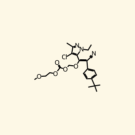 CCn1nc(C)c(Cl)c1/C(OCOC(=O)OCCOC)=C(\C#N)c1ccc(C(C)(C)C)cc1